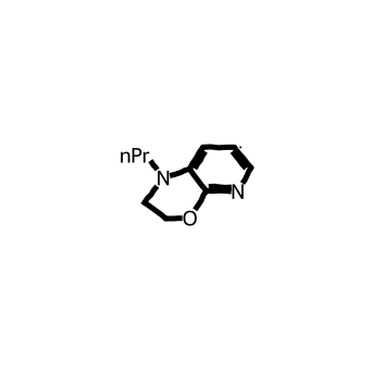 CCCN1CCOc2nc[c]cc21